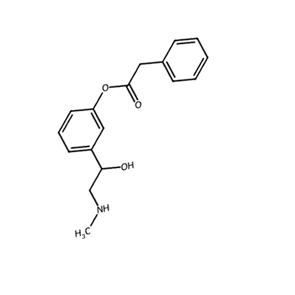 CNCC(O)c1cccc(OC(=O)Cc2ccccc2)c1